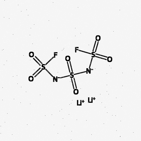 O=S(=O)(F)[N-]S(=O)(=O)[N-]S(=O)(=O)F.[Li+].[Li+]